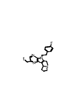 FCc1cnc2c(n1)c1c(n2CCc2ccc(F)cc2)CCN2CCCC12